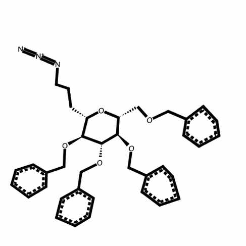 [N-]=[N+]=NCCC[C@@H]1O[C@H](COCc2ccccc2)[C@@H](OCc2ccccc2)[C@H](OCc2ccccc2)[C@H]1OCc1ccccc1